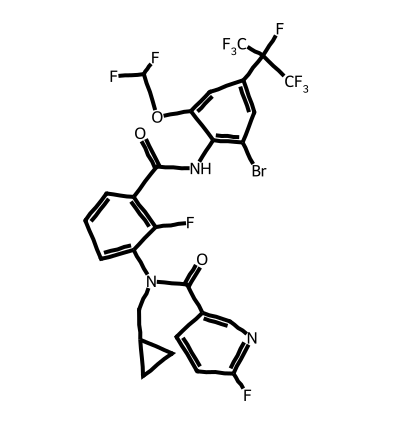 O=C(Nc1c(Br)cc(C(F)(C(F)(F)F)C(F)(F)F)cc1OC(F)F)c1cccc(N(CC2CC2)C(=O)c2ccc(F)nc2)c1F